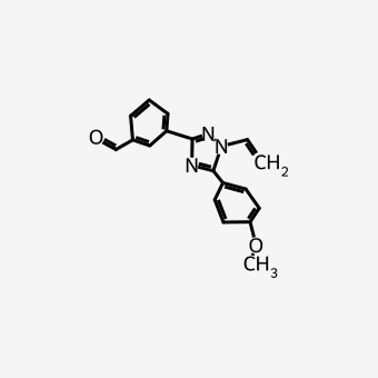 C=Cn1nc(-c2cccc(C=O)c2)nc1-c1ccc(OC)cc1